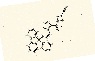 N#CC1CN(C(=O)c2ncsc2/C=C\SC(c2ccccc2)(c2ccccc2)c2ccccc2)C1